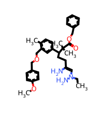 CCN(N)/C=C(\N)CCC(c1ccc(C)c(COCc2ccc(OC)cc2)c1)C(C)(C)C(=O)OCc1ccccc1